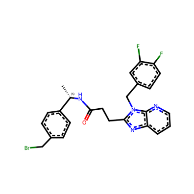 C[C@H](NC(=O)CCc1nc2cccnc2n1Cc1ccc(F)c(F)c1)c1ccc(CBr)cc1